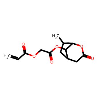 C=CC(=O)OCC(=O)OC1C2CC(=O)OC1C(C)C2